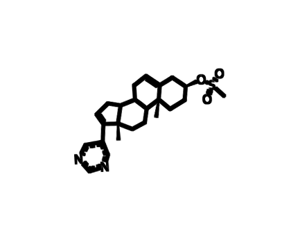 C[C@]12CC[C@H](OS(C)(=O)=O)CC1=CCC1C2CC[C@]2(C)C(c3cncnc3)=CCC12